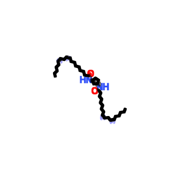 CCCCC/C=C\C/C=C\CCCCCCCC(=O)N[C@@H]1CC[C@H](NC(=O)CCCCCCC/C=C\C/C=C\CCCCC)C1